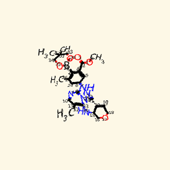 COC(=O)c1cc(Nc2ncc(C)c(N[C@@H]3COCC[C@H]3C#N)n2)cc(C)c1B1OCC(C)(C)CO1